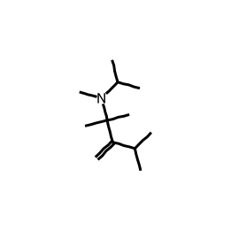 C=C(C(C)C)C(C)(C)N(C)C(C)C